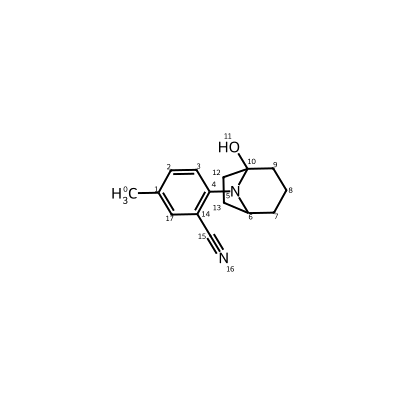 Cc1ccc(N2C3CCCC2(O)CC3)c(C#N)c1